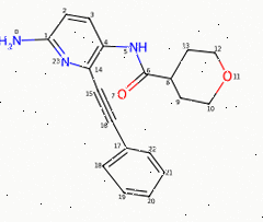 Nc1ccc(NC(=O)C2CCOCC2)c(C#Cc2ccccc2)n1